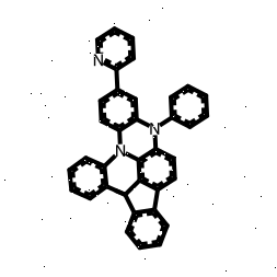 CC12c3ccccc3-c3ccc4c(c31)N(c1ccc(-c3ccccn3)cc1N4c1ccccc1)c1ccccc12